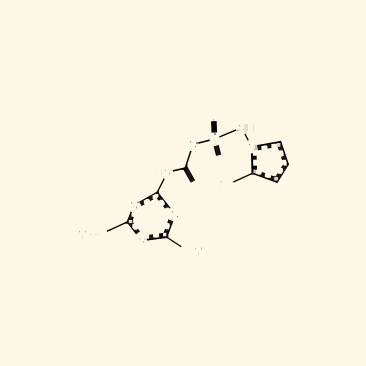 COc1nc(NC(=O)NS(=O)(=O)Nn2cccc2C(C)=O)nc(OC)n1